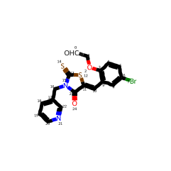 O=CCOc1ccc(Br)cc1/C=C1\SC(=S)N(Cc2cccnc2)C1=O